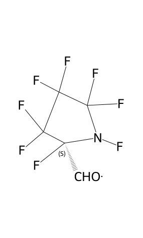 O=[C][C@@]1(F)N(F)C(F)(F)C(F)(F)C1(F)F